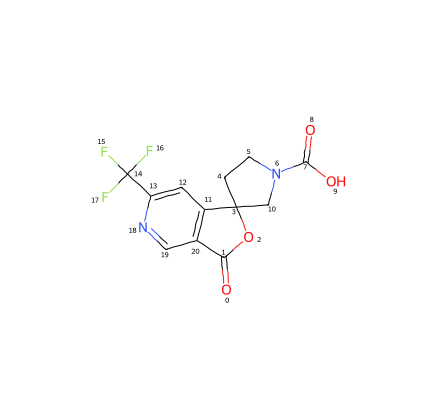 O=C1OC2(CCN(C(=O)O)C2)c2cc(C(F)(F)F)ncc21